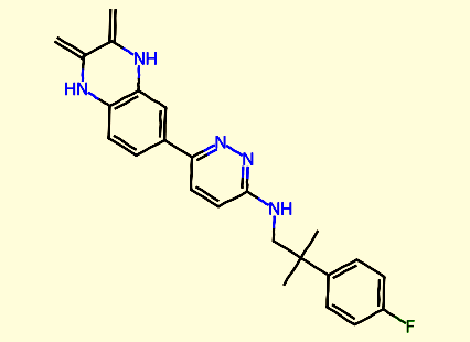 C=C1Nc2ccc(-c3ccc(NCC(C)(C)c4ccc(F)cc4)nn3)cc2NC1=C